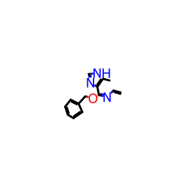 C=C/N=C(/OCc1ccccc1)c1nc[nH]c1C